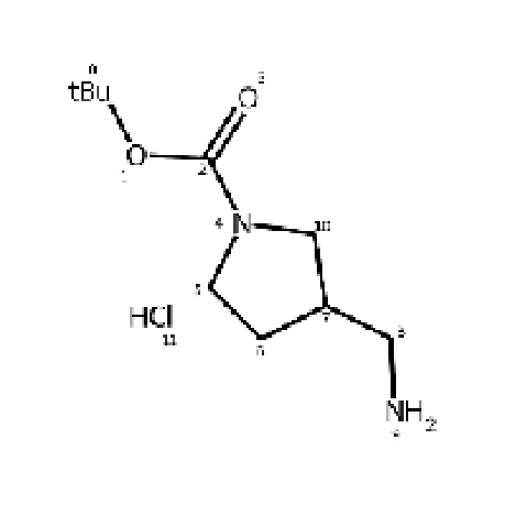 CC(C)(C)OC(=O)N1CCC(CN)C1.Cl